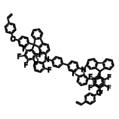 C=Cc1ccc(Oc2ccc(C3(c4c(F)c(F)c(F)c(F)c4F)c4ccccc4-c4ccc(N(c5ccc(-c6ccc(N7c8ccc9c(c8)C(c8c(F)c(F)c(F)c(F)c8F)(c8ccccc8-9)c8ccc(Oc9ccc(C=C)cc9)cc8-c8cccc(F)c87)cc6)cc5)c5c(F)cccc5F)cc43)cc2)cc1